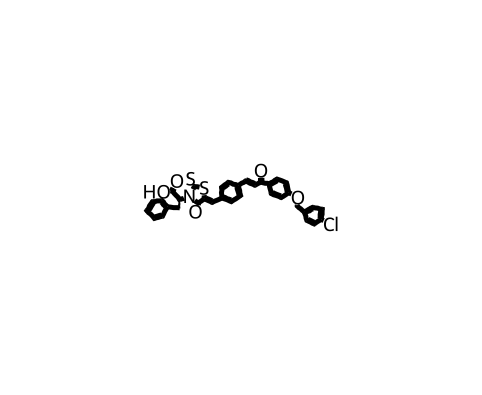 O=C(/C=C/c1ccc(/C=C2\SC(=S)N([C@@H](Cc3ccccc3)C(=O)O)C2=O)cc1)c1ccc(OCc2ccc(Cl)cc2)cc1